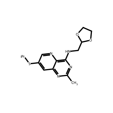 Cc1nc(NCC2OCCO2)c2ncc(SC(C)C)cc2n1